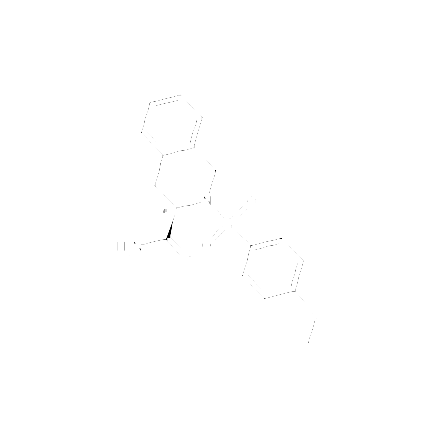 COc1ccc(S(=O)(=O)N2Cc3ccccc3C[C@@H]2C(N)=O)cc1